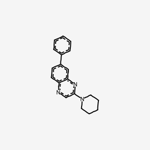 c1ccc(-c2ccc3ncc(N4CCCCC4)nc3c2)cc1